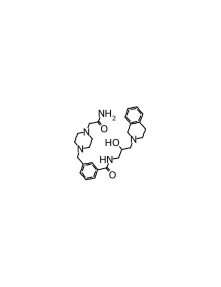 NC(=O)CN1CCN(Cc2cccc(C(=O)NCC(O)CN3CCc4ccccc4C3)c2)CC1